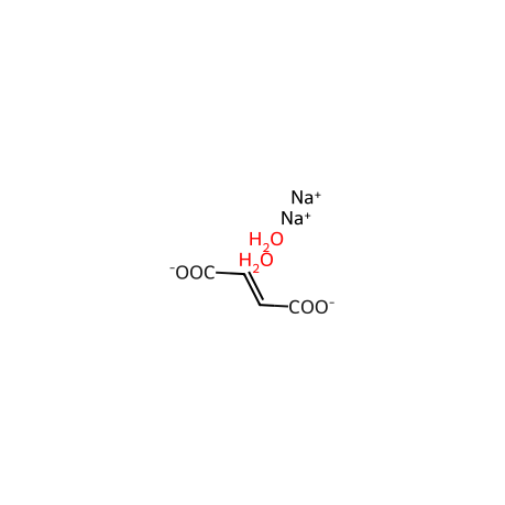 O.O.O=C([O-])C=CC(=O)[O-].[Na+].[Na+]